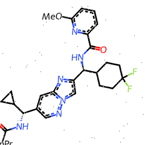 CCCC(=O)N[C@@H](c1cnn2cc([C@@H](NC(=O)c3cccc(OC)n3)C3CCC(F)(F)CC3)nc2c1)C1CC1